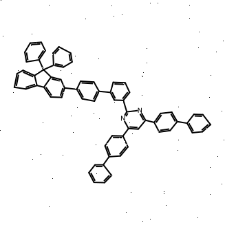 c1ccc(-c2ccc(-c3cc(-c4ccc(-c5ccccc5)cc4)nc(-c4cccc(-c5ccc(-c6ccc7c(c6)C(c6ccccc6)(c6ccccc6)c6ccccc6-7)cc5)c4)n3)cc2)cc1